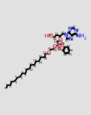 CCCCCCCCCCCCCCCCCCOCCOP(=O)(COC(CCO)Cn1cnc2c(N)ncnc21)Oc1ccccc1